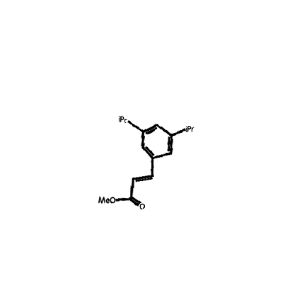 COC(=O)/C=C/c1cc(C(C)C)cc(C(C)C)c1